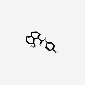 N#Cc1ccc(NC(=O)c2cccc3cccc(C(=O)O)c23)cc1